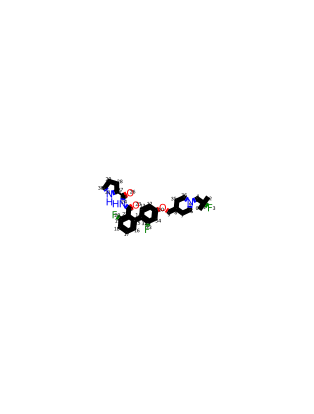 CC(C)(F)CN1CCC(COc2ccc(-c3cccc(F)c3C(=O)NC(=O)[C@@H]3CCCN3)c(F)c2)CC1